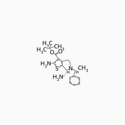 C[C@H](c1ccccc1)N1CCc2c(sc(N)c2C(=O)OC(C)(C)C)[C@H]1CN